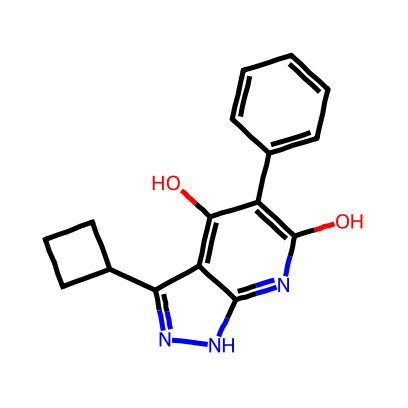 Oc1nc2[nH]nc(C3CCC3)c2c(O)c1-c1ccccc1